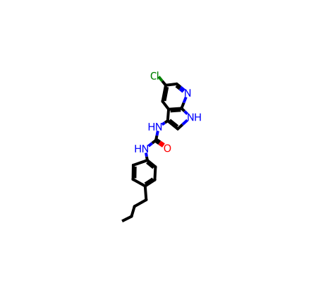 CCCCc1ccc(NC(=O)Nc2c[nH]c3ncc(Cl)cc23)cc1